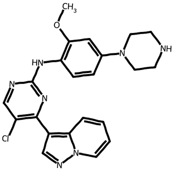 COc1cc(N2CCNCC2)ccc1Nc1ncc(Cl)c(-c2cnn3ccccc23)n1